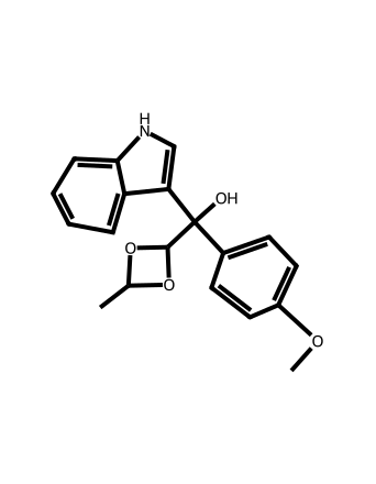 COc1ccc(C(O)(c2c[nH]c3ccccc23)C2OC(C)O2)cc1